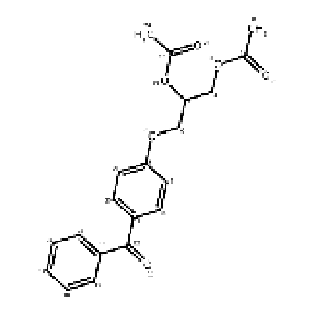 CC(=O)OCC(COc1ccc(C(=O)c2ccccc2)cc1)OC(C)=O